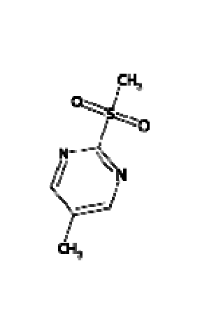 Cc1cnc(S(C)(=O)=O)nc1